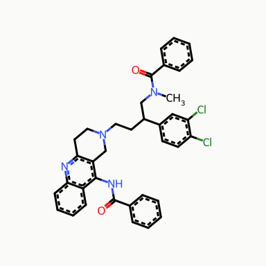 CN(CC(CCN1CCc2nc3ccccc3c(NC(=O)c3ccccc3)c2C1)c1ccc(Cl)c(Cl)c1)C(=O)c1ccccc1